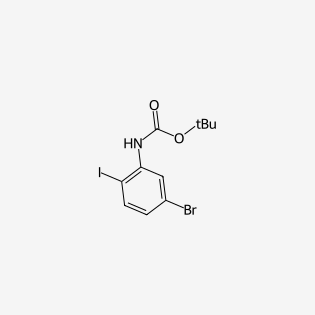 CC(C)(C)OC(=O)Nc1cc(Br)ccc1I